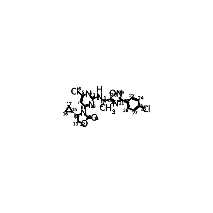 C[C@H](Nc1nc(Cl)cc(N2C(=O)OC[C@@H]2C2CC2)n1)c1nc(-c2ccc(Cl)cc2)no1